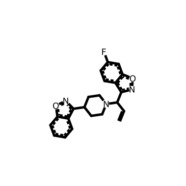 C=CC(c1noc2cc(F)ccc12)N1CCC(c2noc3ccccc23)CC1